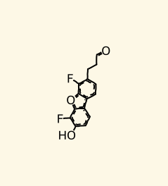 O=CCCc1ccc2c(oc3c(F)c(O)ccc32)c1F